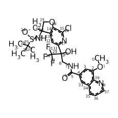 COc1cc(C(=O)NCC(O)(c2cc3c(c(Cl)n2)OCC3(C)N[S+]([O-])C(C)(C)C)C(F)(F)F)cc2cccnc12